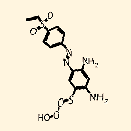 C=CS(=O)(=O)c1ccc(N=Nc2cc(SOOO)c(N)cc2N)cc1